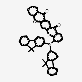 CC1(C)c2ccccc2-c2ccc(N(c3ccc4c(c3)C(C)(C)c3ccccc3-4)c3cccc4c(=O)c5cc6c(=O)c7ccccc7oc6cc5oc34)cc21